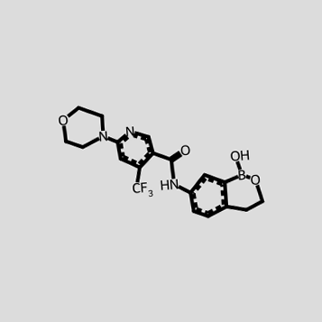 O=C(Nc1ccc2c(c1)B(O)OCC2)c1cnc(N2CCOCC2)cc1C(F)(F)F